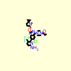 C=CC(=O)N1CCN(c2nc(OC[C@@H]3CCC4(CC4)N3C)nc3cc(-c4nc(N)ccc4C(F)(F)F)c(Cl)cc23)CC1